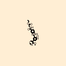 CCOC(=O)CNC(=O)c1ccc2[nH]c(-c3cc(-c4cccnc4OC)ccc3O)nc2c1